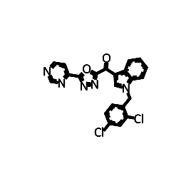 O=C(c1nnc(-c2ccncn2)o1)c1cn(Cc2ccc(Cl)cc2Cl)c2ccccc12